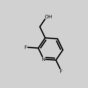 OCc1ccc(F)nc1F